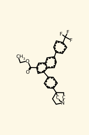 CCOC(=O)c1cc(-c2ccc(C34CCN(CC3)CC4)cc2)c2ccc(-c3ccc(C(F)(F)F)cc3)cc2c1